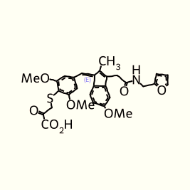 COc1ccc2c(c1)C(CC(=O)NCc1ccco1)=C(C)/C2=C/c1cc(OC)c(SCC(=O)C(=O)O)c(OC)c1